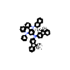 CC1(C)c2ccccc2-c2ccc(N(c3ccc4c(c3)C(C)(C)c3ccccc3-4)c3cc(N(c4ccccc4)c4ccccc4)c4c5ccccc5n(-c5ccc6ccccc6c5)c4c3)cc21